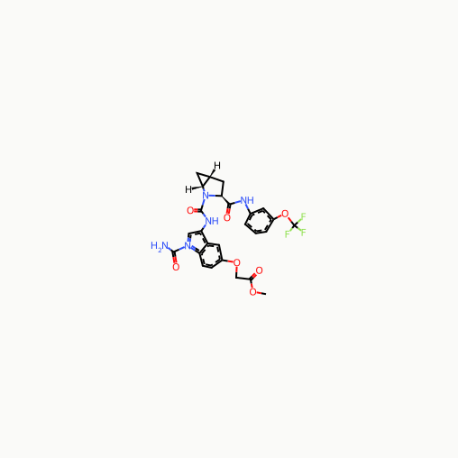 COC(=O)COc1ccc2c(c1)c(NC(=O)N1[C@@H]3C[C@@H]3C[C@H]1C(=O)Nc1cccc(OC(F)(F)F)c1)cn2C(N)=O